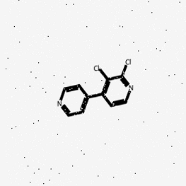 Clc1nccc(-c2ccncc2)c1Cl